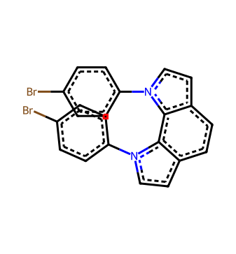 Brc1ccc(-n2ccc3ccc4ccn(-c5ccc(Br)cc5)c4c32)cc1